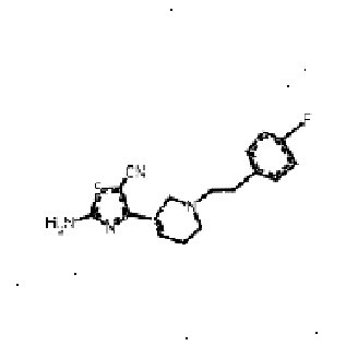 N#Cc1sc(N)nc1C1=CCCN(CCc2ccc(F)cc2)C1